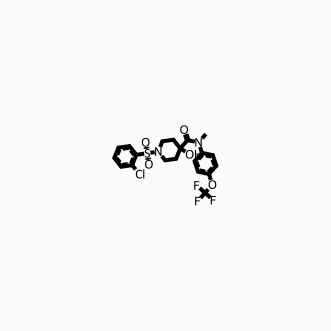 CN(C(=O)C1(O)CCN(S(=O)(=O)c2ccccc2Cl)CC1)c1ccc(OC(F)(F)F)cc1